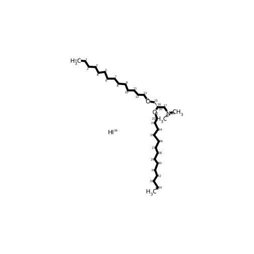 CCCCCCCCCCCCCCOC[C@H](CN(C)C)OCCCCCCCCCCCCCC.I